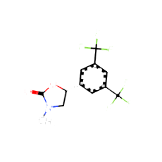 CN1C[C@@H](c2cc(C(F)(F)F)cc(C(F)(F)F)c2)OC1=O